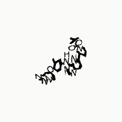 Cc1cc(Nc2ncnc3ccc(C4CCCN(C(=O)OC(C)(C)C)C4)nc23)ccc1Oc1ccn2ncnc2c1